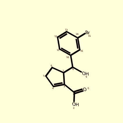 O=C(O)C1=CCCC1C(O)c1cccc(Br)c1